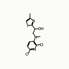 Cc1csc(C(O)CN(C)c2ccc(Cl)nc2Cl)n1